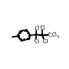 [CH2]c1ccc(C(Cl)(Cl)C(Cl)(Cl)C(Cl)(Cl)Cl)cc1